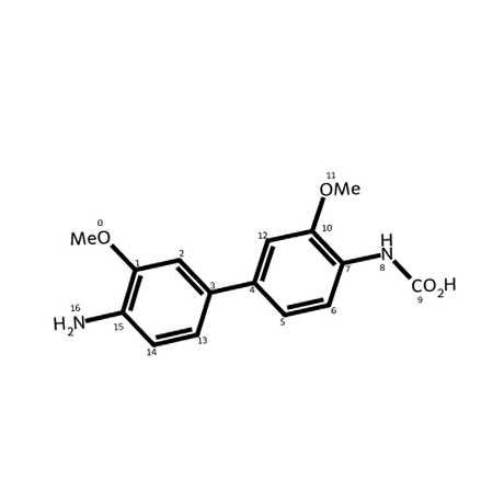 COc1cc(-c2ccc(NC(=O)O)c(OC)c2)ccc1N